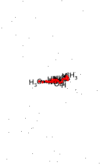 CCCCCCCCCCN1CCC(C2NNC(CNc3cccc(C(=O)N[C@@H](C#N)c4ccccc4OC)c3)N2CCO)NC1